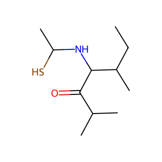 CCC(C)C(NC(C)S)C(=O)C(C)C